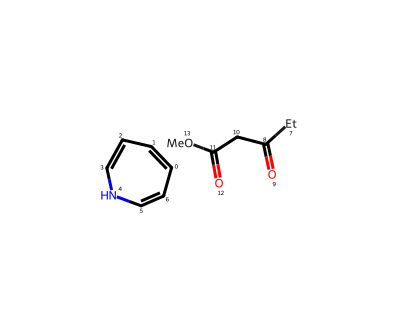 C1=CC=CNC=C1.CCC(=O)CC(=O)OC